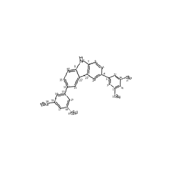 CC(C)(C)c1cc(-c2c[c]c3[nH]c4ccc(-c5cc(C(C)(C)C)cc(C(C)(C)C)c5)cc4c3c2)cc(C(C)(C)C)c1